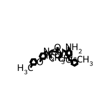 Cc1cccc(Oc2ccc(N)c(CN(C(=O)OCc3nc4ccc(Oc5cccc(C)c5)cc4n3C)C(C)(C)C)c2)c1